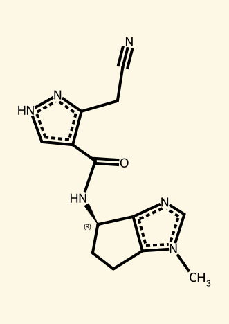 Cn1cnc2c1CC[C@H]2NC(=O)c1c[nH]nc1CC#N